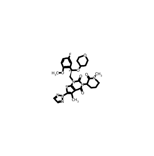 COc1ccc(F)cc1[C@H](Cn1c(=O)n(C2CCCN(C)C2=O)c(=O)c2c(C)c(-n3nccn3)sc21)OC1CCOCC1